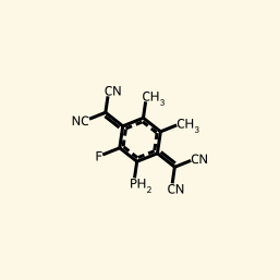 Cc1c(C)c(=C(C#N)C#N)c(P)c(F)c1=C(C#N)C#N